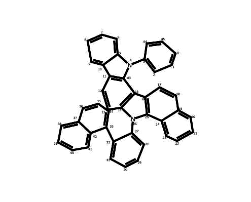 c1ccc(-n2c3ccccc3c3ccc4c(c5ccc6ccccc6c5n4-c4ccccc4-c4cccc5ccccc45)c32)cc1